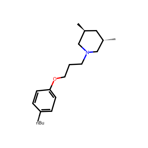 CCCCc1ccc(OCCCN2C[C@@H](C)C[C@H](C)C2)cc1